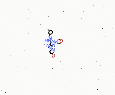 COc1ccc(-n2cnc3c(NN=Cc4cccc(C)c4)nc(N4CCOCC4)nc32)nc1